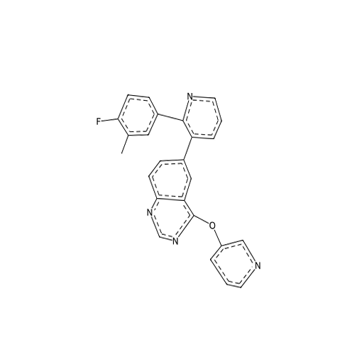 Cc1cc(-c2ncccc2-c2ccc3ncnc(Oc4cccnc4)c3c2)ccc1F